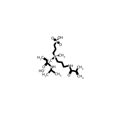 C=C(C)C(=O)NCCC[N+](C)(C)CCCS(=O)(=O)O.C=CC(=O)NC(C)C.[OH-]